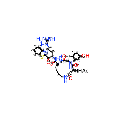 CC(=O)N[C@H]1CC(=O)NCCCC[C@@H](C(=O)NC(CCCNC(=N)N)C(=O)c2nc3ccccc3s2)NC(=O)[C@H](Cc2ccc(O)cc2)NC1=O